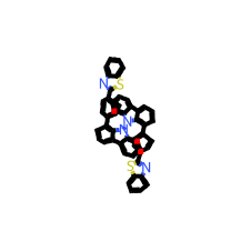 c1ccc2sc(-c3ccc(-c4cccc5c6ccccc6n(-n6c7ccccc7c7cccc(-c8ccc(-c9nc%10ccccc%10s9)cc8)c76)c45)cc3)nc2c1